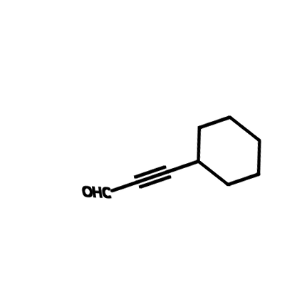 O=CC#CC1CCCCC1